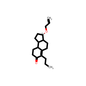 C=CCO[C@H]1CCC2C3CCC(=O)C(CCC)=C3CCC21